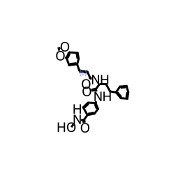 O=C(/C=C/c1ccc2c(c1)OCO2)NC(CCc1ccccc1)C(=O)Nc1ccc(C(=O)NO)cc1